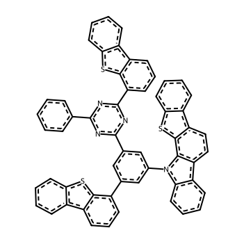 c1ccc(-c2nc(-c3cc(-c4cccc5c4sc4ccccc45)cc(-n4c5ccccc5c5ccc6c7ccccc7sc6c54)c3)nc(-c3cccc4c3sc3ccccc34)n2)cc1